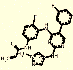 C=CC(=O)Nc1ccc(F)c(Nc2nc(Nc3cnn(C)c3)ncc2-c2cccc(F)c2)c1